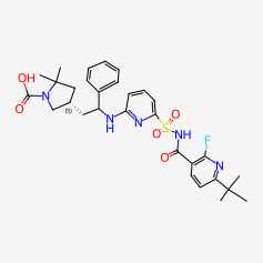 CC(C)(C)c1ccc(C(=O)NS(=O)(=O)c2cccc(NC(C[C@@H]3CN(C(=O)O)C(C)(C)C3)c3ccccc3)n2)c(F)n1